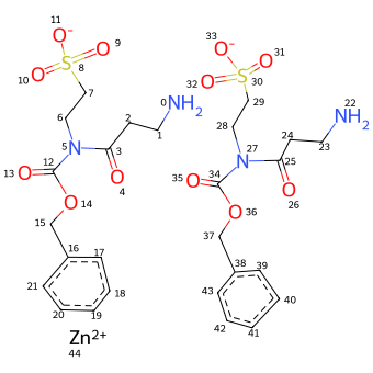 NCCC(=O)N(CCS(=O)(=O)[O-])C(=O)OCc1ccccc1.NCCC(=O)N(CCS(=O)(=O)[O-])C(=O)OCc1ccccc1.[Zn+2]